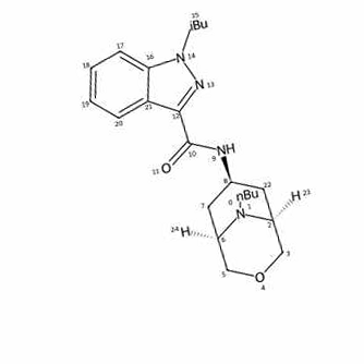 CCCCN1[C@@H]2COC[C@H]1C[C@@H](NC(=O)c1nn(C(C)CC)c3ccccc13)C2